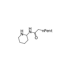 CCCCCCC(=O)NC1CCCCN1